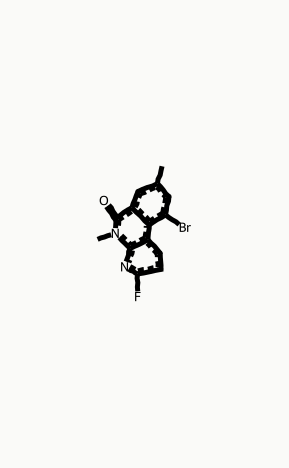 Cc1cc(Br)c2c(c1)c(=O)n(C)c1nc(F)ccc21